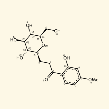 COc1ccc(C(=O)CC[C@@H]2O[C@H](CO)[C@@H](O)[C@H](O)[C@H]2O)c(O)c1